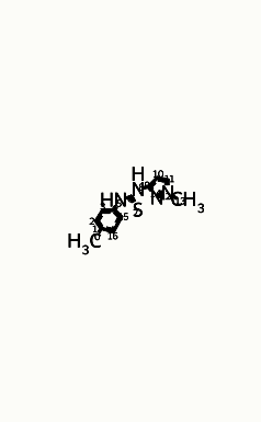 Cc1ccc(NC(=S)Nc2ccn(C)n2)cc1